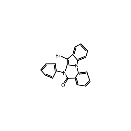 O=c1c2ccccc2n2c3ccccc3c(Br)c2n1-c1ccccc1